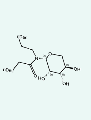 CCCCCCCCCCCCN(C(=O)CCCCCCCCCCC)[C@@H]1OC[C@@H](O)[C@H](O)[C@@H]1O